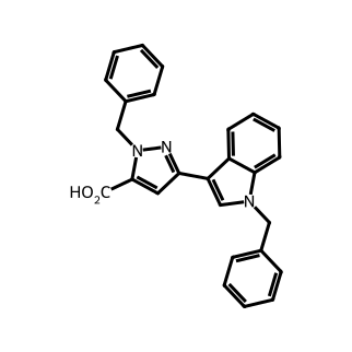 O=C(O)c1cc(-c2cn(Cc3ccccc3)c3ccccc23)nn1Cc1ccccc1